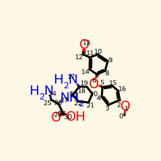 COc1ccc(Oc2cccc(C=O)c2)cc1.NC1CCCCC1.NC[C@H](N)C(=O)O